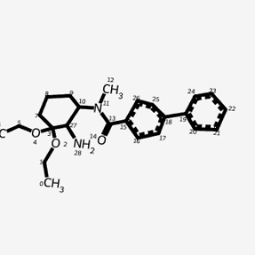 CCOC1(OCC)CCCC(N(C)C(=O)c2ccc(-c3ccccc3)cc2)C1N